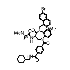 CN[C@@H](C)C(=O)NC1CN(C(=O)c2ccc(C(=O)NCC3CCCCC3)cc2)c2ccccc2N(Cc2c(OC)ccc3cc(Br)ccc23)C1=O